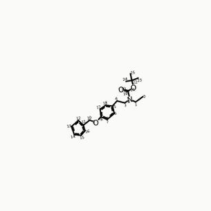 CCN(CCc1ccc(OCc2ccccc2)cc1)C(=O)OC(C)(C)C